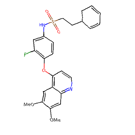 COc1cc2nccc(Oc3ccc(NS(=O)(=O)CCC4C=CC=CC4)cc3F)c2cc1OC